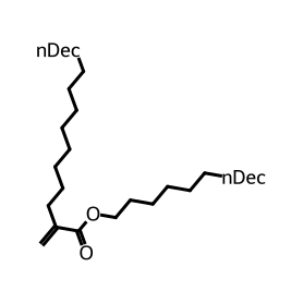 C=C(CCCCCCCCCCCCCCCCCC)C(=O)OCCCCCCCCCCCCCCCC